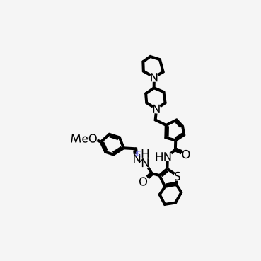 COc1ccc(/C=N/NC(=O)c2c(NC(=O)c3cccc(CN4CCC(N5CCCCC5)CC4)c3)sc3c2CCCC3)cc1